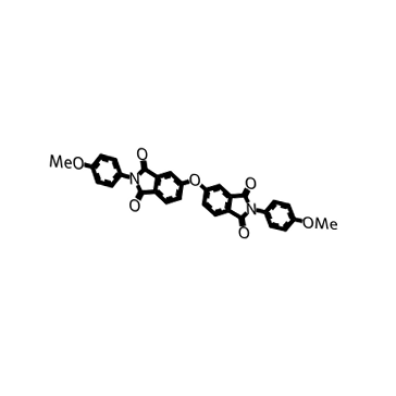 COc1ccc(N2C(=O)c3ccc(Oc4ccc5c(c4)C(=O)N(c4ccc(OC)cc4)C5=O)cc3C2=O)cc1